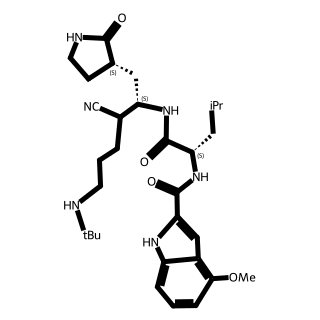 COc1cccc2[nH]c(C(=O)N[C@@H](CC(C)C)C(=O)N[C@@H](C[C@@H]3CCNC3=O)C(C#N)CCCNC(C)(C)C)cc12